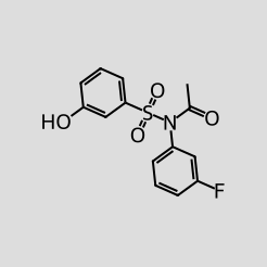 CC(=O)N(c1cccc(F)c1)S(=O)(=O)c1cccc(O)c1